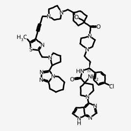 Cc1sc(CN2CCCC2c2nnc3n2CCCCC3)nc1C#CCN1CCN(CC23CCC(C(=O)N4CCN(CC[C@H](NC(=O)C5(N)CCN(c6ncnc7[nH]ccc67)CC5)c5ccc(Cl)cc5)CC4)(CC2)CO3)CC1